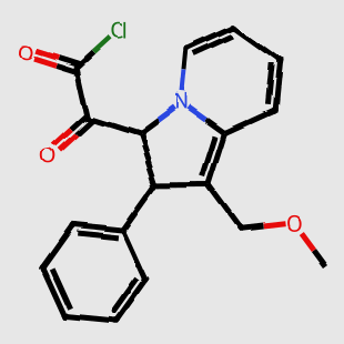 COCC1=C2C=CC=CN2C(C(=O)C(=O)Cl)C1c1ccccc1